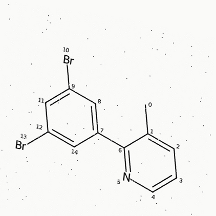 Cc1cccnc1-c1cc(Br)cc(Br)c1